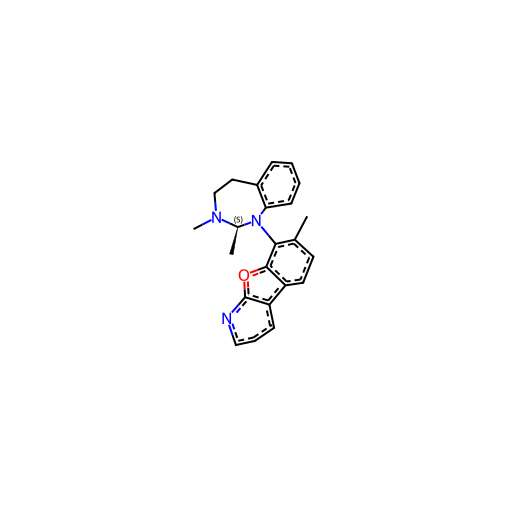 Cc1ccc2c(oc3ncccc32)c1N1c2ccccc2CCN(C)[C@@H]1C